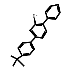 CC(C)(C)c1ccc(-c2ccc(-c3ccccc3)c(Br)c2)cc1